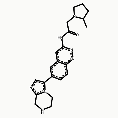 CC1CCCN1CC(=O)Nc1cc2cc(-c3cnc4n3CCNC4)ccc2nn1